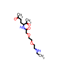 CCNCCOCCOCC(=O)NC(CCC(C)=O)C(C)=O